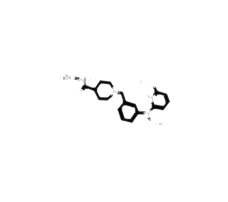 CCCCNC(=O)C1CCN(Cc2cccc(N(C=O)c3cccc(C(F)(F)F)n3)c2)CC1